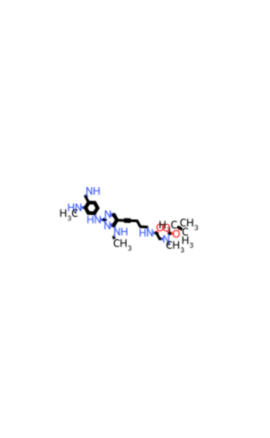 CCNc1nc(Nc2ccc(C=N)c(NC)c2)ncc1C#CCCCNC(=O)CN(C)C(=O)OC(C)(C)C